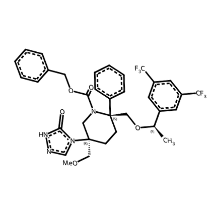 COC[C@@]1(n2cn[nH]c2=O)CC[C@@](CO[C@H](C)c2cc(C(F)(F)F)cc(C(F)(F)F)c2)(c2ccccc2)N(C(=O)OCc2ccccc2)C1